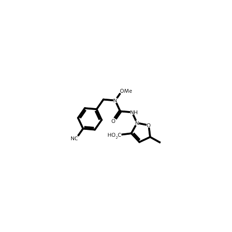 CON(Cc1ccc(C#N)cc1)C(=O)NN1OC(C)C=C1C(=O)O